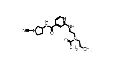 CCCN(CCNc1cc(C(=O)NC2CCN(C#N)C2)ccn1)C(C)=O